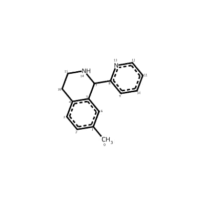 Cc1ccc2c(c1)C(c1ccccn1)NCC2